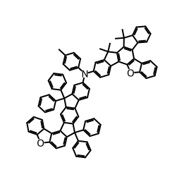 Cc1ccc(N(c2ccc3c(c2)C(C)(C)c2c4c(c5c(oc6ccccc65)c2-3)-c2ccccc2C4(C)C)c2ccc3c(c2)C(c2ccccc2)(c2ccccc2)c2cc4c(cc2-3)C(c2ccccc2)(c2ccccc2)c2ccc3oc5ccccc5c3c2-4)cc1